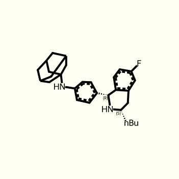 CCCC[C@H]1Cc2cc(F)ccc2[C@@H](c2ccc(NC34CC5CC(CC(C5)C3)C4)cc2)N1